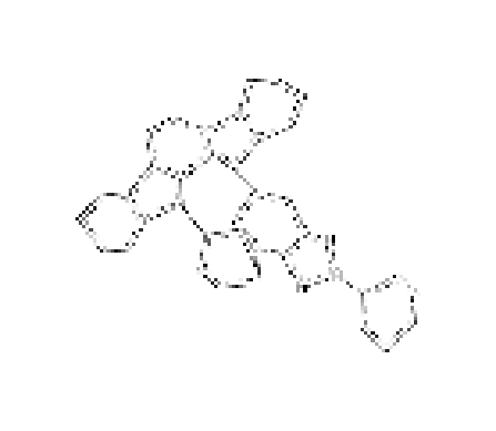 c1ccc(-n2nc3ccc(-n4c5ccccc5c5ccc6c7ccccc7n(-c7ccccc7)c6c54)cc3n2)cc1